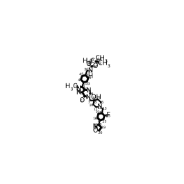 Cn1nc2c(=O)n(CC3(O)CCN(Cc4ccc(-c5ccon5)cc4F)CC3)cnc2c1-c1ccc(CNC(=O)OC(C)(C)C)cc1